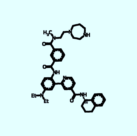 CCN(CC)c1ccc(NC(=O)c2cccc(C(=O)N(C)CCN3CCCNCC3)c2)c(-c2cc(C(=O)N[C@H]3CCCc4ccccc43)ccn2)c1